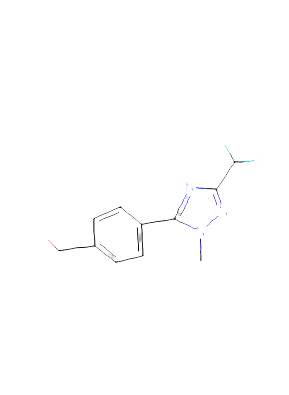 Cn1nc(C(F)F)nc1-c1ccc(CO)cc1